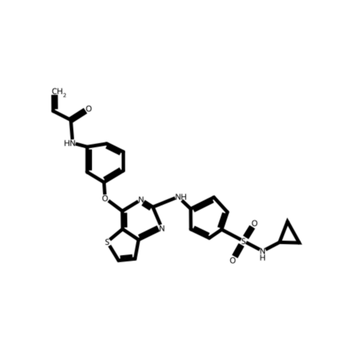 C=CC(=O)Nc1cccc(Oc2nc(Nc3ccc(S(=O)(=O)NC4CC4)cc3)nc3ccsc23)c1